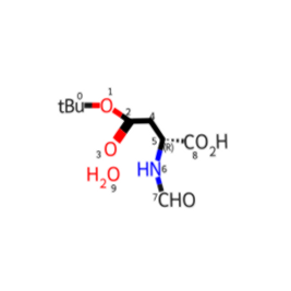 CC(C)(C)OC(=O)C[C@@H](NC=O)C(=O)O.O